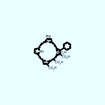 O=C(O)C1=Cc2cc3ccc(cc4nc(cc5c(-c6ccccc6)c(C(=O)O)c(c(C(=O)O)c1n2)n5C(=O)O)C=C4)[nH]3.[Mg]